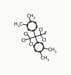 Cc1ccc(C(c2ccc(C)c(C)c2)(C(F)(Cl)Cl)C(Cl)(Cl)Cl)cc1C